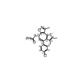 Cc1noc2c1-c1sc(C)c(C)c1C(c1ccc(Cl)cc1)=N[C@H]2CC(=O)C(C)C